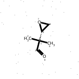 CC(C)([C]=O)[C@H]1CO1